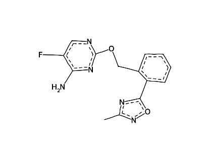 Cc1noc(-c2ccccc2COc2ncc(F)c(N)n2)n1